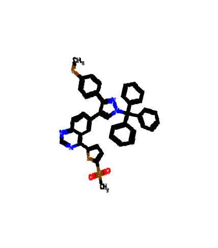 CSc1ccc(-c2nn(C(c3ccccc3)(c3ccccc3)c3ccccc3)cc2-c2ccc3ncnc(-c4ccc(S(C)(=O)=O)s4)c3c2)cc1